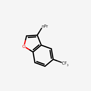 CCCc1coc2ccc(C(F)(F)F)cc12